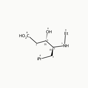 CCN[C@@H](CC(C)C)[C@@H](O)CC(=O)O